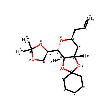 C=CC[C@H]1C[C@@H]2OC3(CCCCC3)O[C@H]2[C@H]([C@H]2COC(C)(C)O2)O1